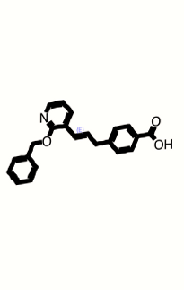 O=C(O)c1ccc(C/C=C/c2cccnc2OCc2ccccc2)cc1